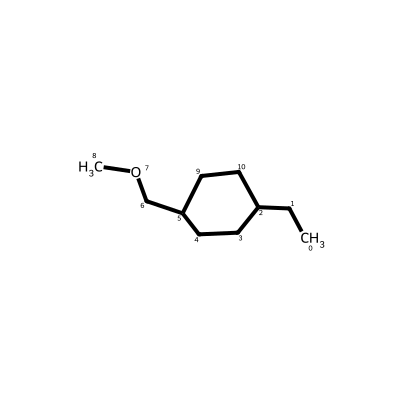 CCC1CCC(COC)CC1